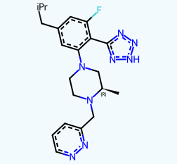 CC(C)Cc1cc(F)c(-c2nn[nH]n2)c(N2CCN(Cc3cccnn3)[C@H](C)C2)c1